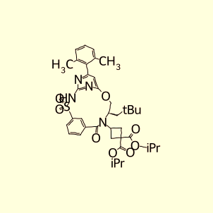 Cc1cccc(C)c1-c1cc2nc(n1)NS(=O)(=O)c1cccc(c1)C(=O)N(C1CC(C(=O)OC(C)C)(C(=O)OC(C)C)C1)[C@H](CC(C)(C)C)CO2